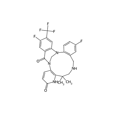 CC1(C)CNCc2cc(F)ccc2N2CN(C(=O)c3cc(F)c(C(F)(F)F)cc32)c2ccc(=O)[nH]c21